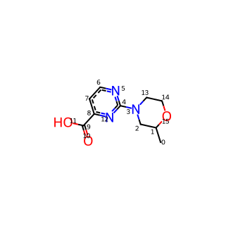 CC1CN(c2nccc(C(=O)O)n2)CCO1